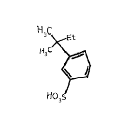 CCC(C)(C)c1cccc(S(=O)(=O)O)c1